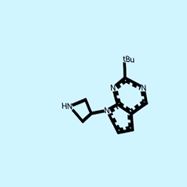 CC(C)(C)c1ncc2ccn(C3CNC3)c2n1